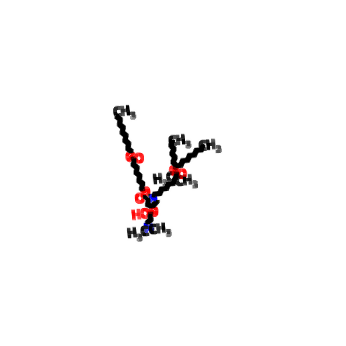 CCCCCCCCCCCOC(=O)CCCCCCCOC(=O)[C@@H]1C[C@H](OC(O)CCN(C)C)CN1CCCCCCC(C)(C)C(=O)OC(CCCCCC)CCCCCCCC